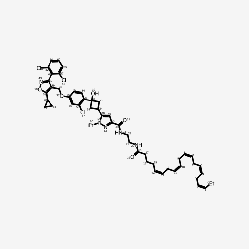 CC/C=C\C/C=C\C/C=C\C/C=C\C/C=C\CCCC(=O)NCCNC(=O)c1cc(C2CC(O)(c3ccc(OCc4c(-c5c(Cl)cccc5Cl)noc4C4CC4)cc3Cl)C2)n(C(C)C)n1